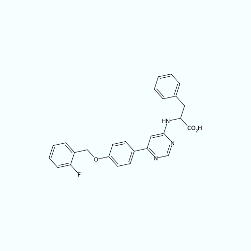 O=C(O)C(Cc1ccccc1)Nc1cc(-c2ccc(OCc3ccccc3F)cc2)ncn1